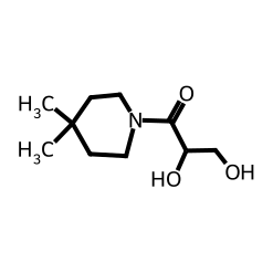 CC1(C)CCN(C(=O)C(O)CO)CC1